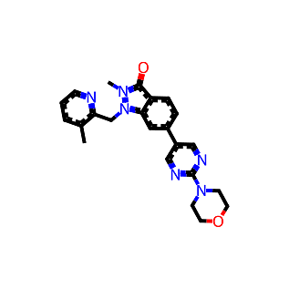 Cc1cccnc1Cn1c2cc(-c3cnc(N4CCOCC4)nc3)ccc2c(=O)n1C